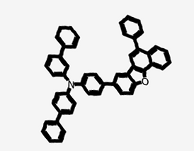 C1=CC(c2cccc(N(c3ccc(-c4ccccc4)cc3)c3ccc(-c4ccc5oc6c7ccccc7c(-c7ccccc7)cc6c5c4)cc3)c2)=CCC1